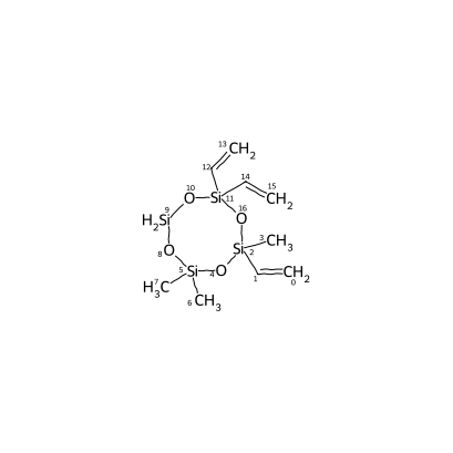 C=C[Si]1(C)O[Si](C)(C)O[SiH2]O[Si](C=C)(C=C)O1